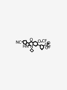 N#Cc1ccc2c(c1)[nH]c1c2c(=O)c2cc(OCC(F)(F)F)c(-c3cccc(OS(=O)(=O)F)c3)cc2n1C1CCC1